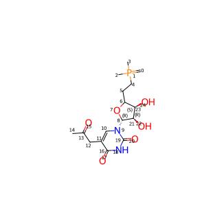 C=P(C)(C)CCC1O[C@@H](n2cc(CC(C)=O)c(=O)[nH]c2=O)[C@H](O)[C@@H]1O